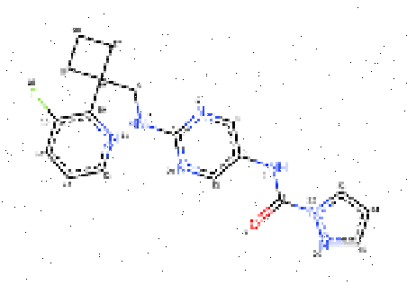 O=C(Nc1cnc(NCC2(c3ncccc3F)CCC2)nc1)n1cccn1